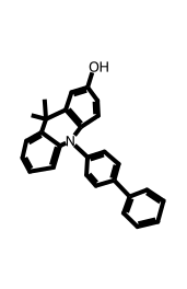 CC1(C)c2ccccc2N(c2ccc(-c3ccccc3)cc2)c2ccc(O)cc21